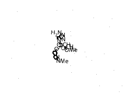 CNc1ccc2ccc(OC[C@H]3O[C@@H](n4ccc5c(N)ncnc54)C[C@@H]3OC(C)(C)OC)cc2n1